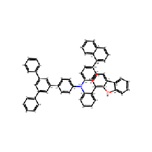 c1ccc(-c2cc(-c3ccccc3)cc(-c3ccc(N(c4ccc(-c5cccc6ccccc56)cc4)c4ccccc4-c4cccc5c4oc4ccccc45)cc3)c2)cc1